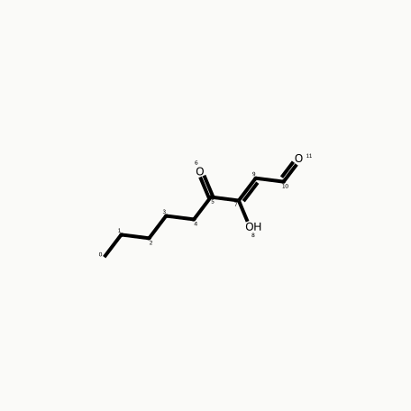 CCCCCC(=O)/C(O)=C/C=O